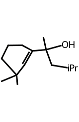 CC(C)CC(C)(O)C1=CC(C)(C)CCC1